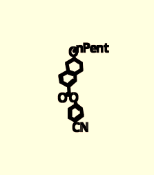 CCCCCOC1CCc2cc(C(=O)Oc3ccc(C#N)cc3)ccc2C1